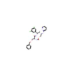 O=C(O)CC(NC(=O)C(COCc1ccccc1)NC(=O)OCCNc1ccccn1)c1cc(Cl)cc(Cl)c1